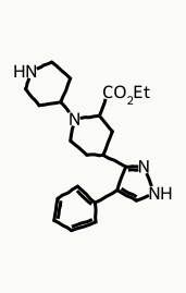 CCOC(=O)C1CC(c2n[nH]cc2-c2ccccc2)CCN1C1CCNCC1